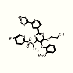 COc1ccccc1Oc1c(OCCO)nc(-c2ccnc(-c3nn[nH]n3)c2)nc1N(C)S(=O)(=O)c1ccc(C(C)C)cn1